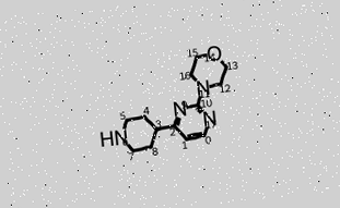 c1cc(C2CCNCC2)nc(N2CCOCC2)n1